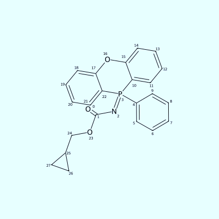 O=C(N=P1(c2ccccc2)c2ccccc2Oc2ccccc21)OCC1CC1